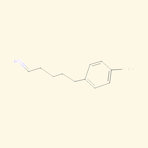 N=CCCCCc1ccc(C=O)cc1